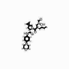 CCCC[C@H](CN(O)C=O)C(=O)N1CC2(CC2)C[C@H]1C(=O)Nc1ccc(N2CCOCC2)cc1